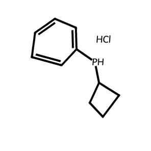 Cl.c1ccc(PC2CCC2)cc1